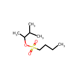 CCCCS(=O)(=O)OC(C)C(C)C